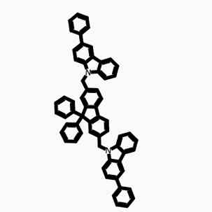 c1ccc(-c2ccc3c(c2)c2ccccc2n3Cc2ccc3c(c2)C(c2ccccc2)(c2ccccc2)c2cc(Cn4c5ccccc5c5cc(-c6ccccc6)ccc54)ccc2-3)cc1